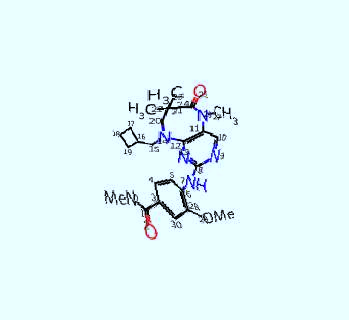 CNC(=O)c1ccc(Nc2ncc3c(n2)N(CC2CCC2)CC(C)(C)C(=O)N3C)c(OC)c1